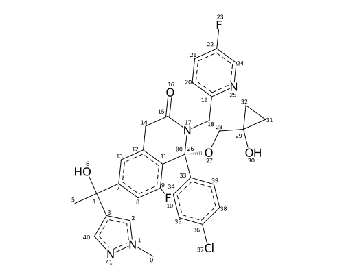 Cn1cc(C(C)(O)c2cc(F)c3c(c2)CC(=O)N(Cc2ccc(F)cn2)[C@@]3(OCC2(O)CC2)c2ccc(Cl)cc2)cn1